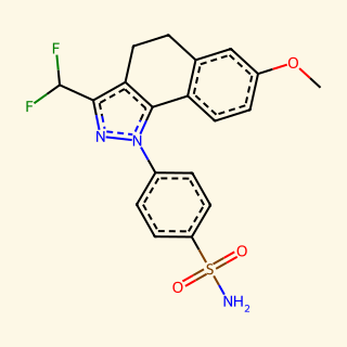 COc1ccc2c(c1)CCc1c(C(F)F)nn(-c3ccc(S(N)(=O)=O)cc3)c1-2